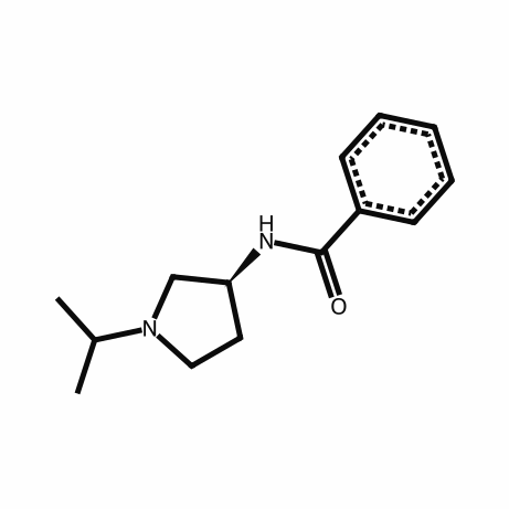 CC(C)N1CC[C@H](NC(=O)c2ccccc2)C1